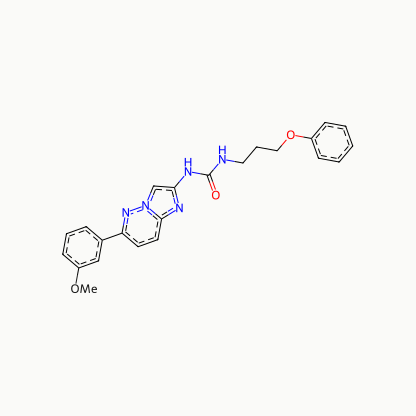 COc1cccc(-c2ccc3nc(NC(=O)NCCCOc4ccccc4)cn3n2)c1